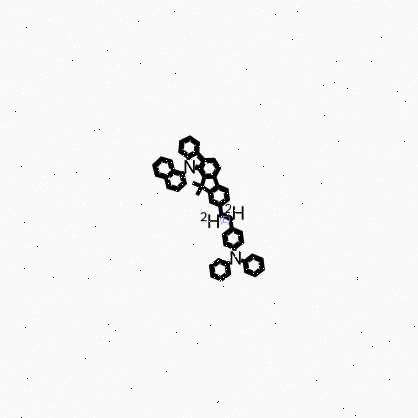 [2H]/C(=C(/[2H])c1ccc2c(c1)C(C)(C)c1c-2ccc2c3ccccc3n(-c3cccc4ccccc34)c12)c1ccc(N(c2ccccc2)c2ccccc2)cc1